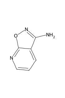 Nc1noc2ncccc12